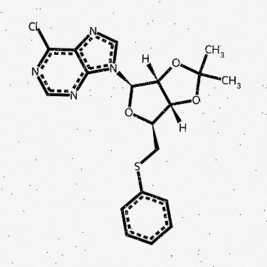 CC1(C)O[C@@H]2[C@H](O1)[C@@H](CSc1ccccc1)O[C@H]2n1cnc2c(Cl)ncnc21